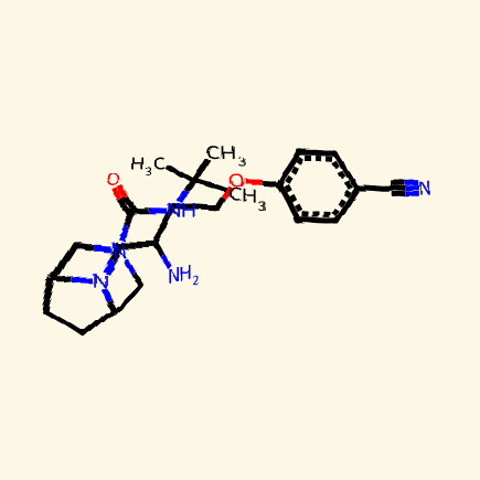 CC(C)(C)NC(=O)N1CC2CCC(C1)N2CC(N)CCOc1ccc(C#N)cc1